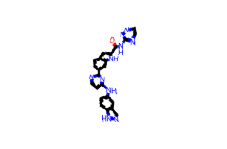 O=C(Nc1nccnn1)c1cc2ccc(-c3nccc(Nc4ccc5[nH]ncc5c4)n3)cc2[nH]1